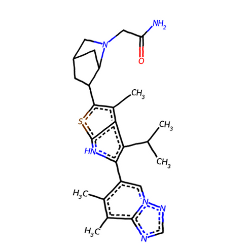 Cc1c(-c2[nH]c3sc(C4CC5CC4N(CC(N)=O)C5)c(C)c3c2C(C)C)cn2ncnc2c1C